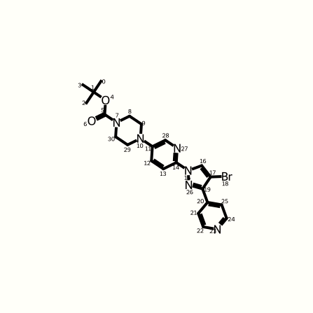 CC(C)(C)OC(=O)N1CCN(c2ccc(-n3cc(Br)c(-c4ccncc4)n3)nc2)CC1